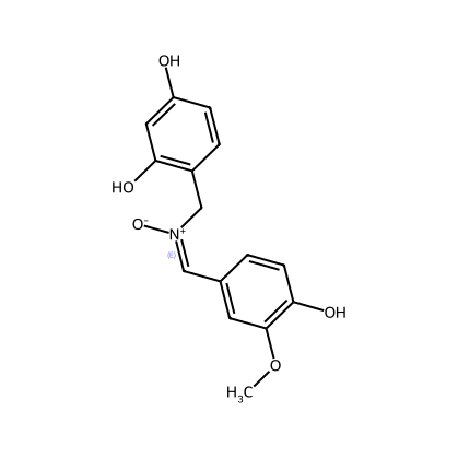 COc1cc(/C=[N+](/[O-])Cc2ccc(O)cc2O)ccc1O